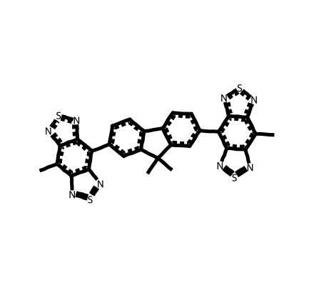 Cc1c2c(c(-c3ccc4c(c3)C(C)(C)c3cc(-c5c6c(c(C)c7nsnc57)N=S=N6)ccc3-4)c3nsnc13)N=S=N2